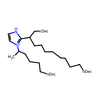 CCCCCCCCCCCCCCCCCCC(CCCCCCCCCCC)c1[nH]cc[n+]1C(C)CCCCCCCCCCCCCC